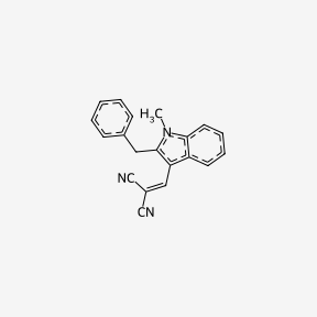 Cn1c(Cc2ccccc2)c(C=C(C#N)C#N)c2ccccc21